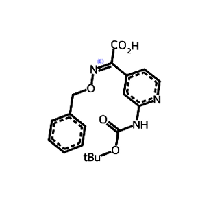 CC(C)(C)OC(=O)Nc1cc(/C(=N\OCc2ccccc2)C(=O)O)ccn1